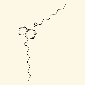 CCCCCCCCOc1ccc(OCCCCCCCC)c2sccc12